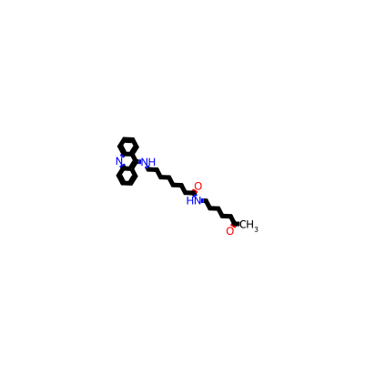 CC(=O)CCCCCNC(=O)CCCCCCCNc1c2ccccc2nc2ccccc12